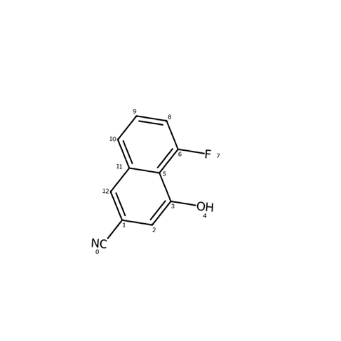 N#Cc1cc(O)c2c(F)cccc2c1